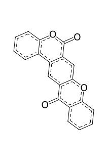 O=c1c2ccccc2oc2cc3c(=O)oc4ccccc4c3cc12